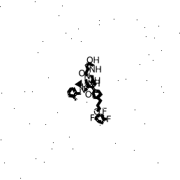 Cc1ccccc1CN(C(=O)C1=C(c2ccc(CCCOc3c(F)ccc(F)c3F)cc2)C[C@@H]2CN(C(=O)C3C[C@@H](O)CN3)C[C@H]1N2)C1CC1